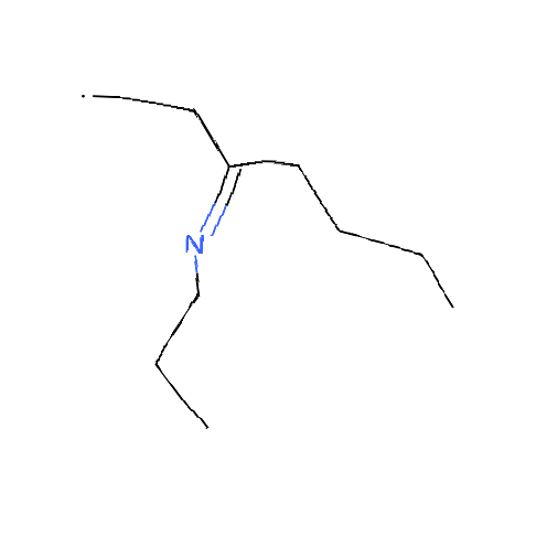 [CH2]CC(CCCC)=NCCC